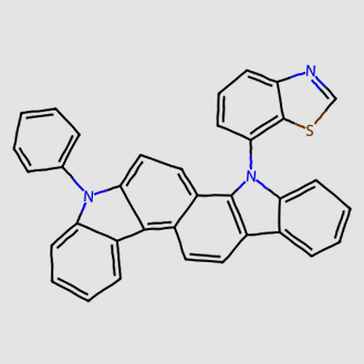 c1ccc(-n2c3ccccc3c3c4ccc5c6ccccc6n(-c6cccc7ncsc67)c5c4ccc32)cc1